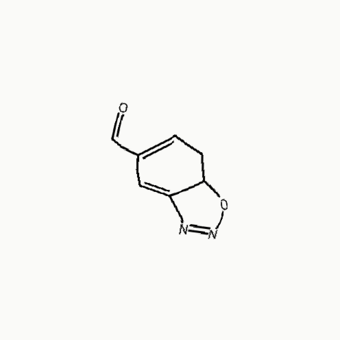 O=CC1=CCC2ON=NC2=C1